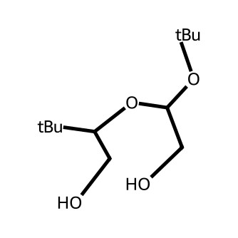 CC(C)(C)OC(CO)OC(CO)C(C)(C)C